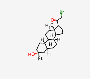 CC[C@@]1(O)CC[C@H]2[C@@H](CC[C@@H]3[C@@H]2CC[C@]2(C)[C@@H](C(=O)CBr)CC[C@@H]32)C1